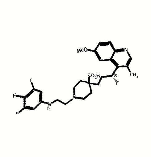 COc1ccc2ncc(C)c([C@H](F)CCC3(C(=O)O)CCN(CCNc4cc(F)c(F)c(F)c4)CC3)c2c1